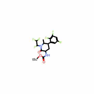 CC1C(c2cc(F)cc(F)c2F)CC(NC(=O)OC(C)(C)C)C(=O)N1C(F)C(F)F